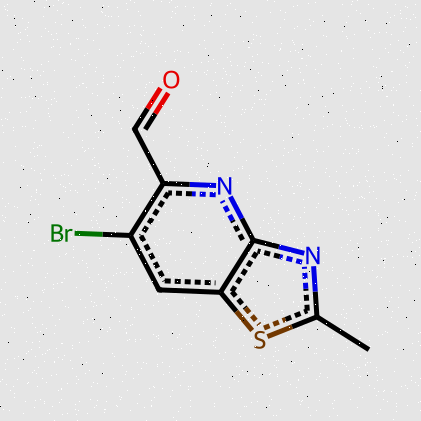 Cc1nc2nc(C=O)c(Br)cc2s1